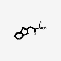 CN(C)C(=O)CC1=Cc2ccccc2C1